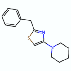 c1ccc(Cc2nc(N3CCCCC3)cs2)cc1